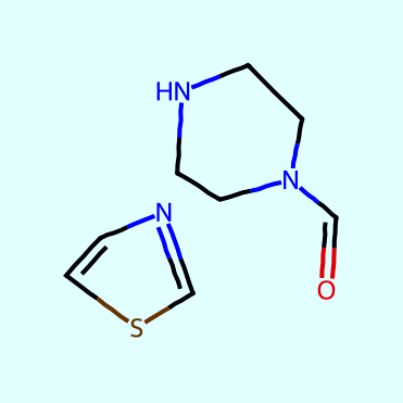 O=CN1CCNCC1.c1cscn1